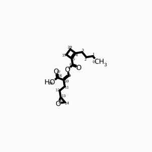 CCCCC1=C(C(=O)OC=C(CCC2CO2)C(=O)O)CC1